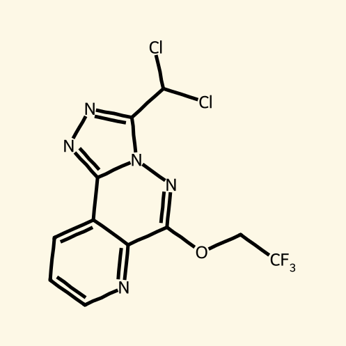 FC(F)(F)COc1nn2c(C(Cl)Cl)nnc2c2cccnc12